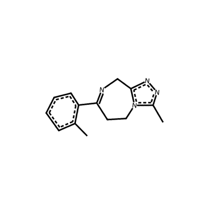 Cc1ccccc1C1=NCc2nnc(C)n2CC1